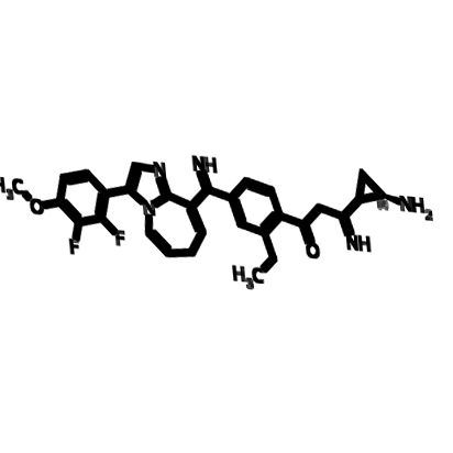 CCc1cc(C(=N)C2=CCC=Cn3c(-c4ccc(OC)c(F)c4F)cnc32)ccc1C(=O)CC(=N)C1C[C@H]1N